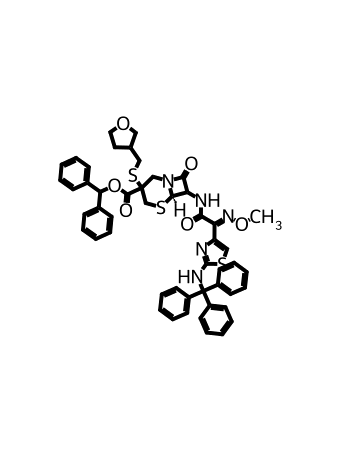 CON=C(C(=O)NC1C(=O)N2CC(SCC3CCOC3)(C(=O)OC(c3ccccc3)c3ccccc3)CS[C@H]12)c1csc(NC(c2ccccc2)(c2ccccc2)c2ccccc2)n1